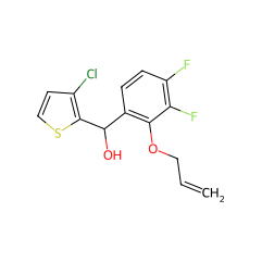 C=CCOc1c(C(O)c2sccc2Cl)ccc(F)c1F